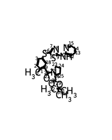 Cc1ccc(Sc2cnc(Nc3ccccn3)s2)cc1C(=O)N1CCC[C@H]1C(=O)OC(C)(C)C